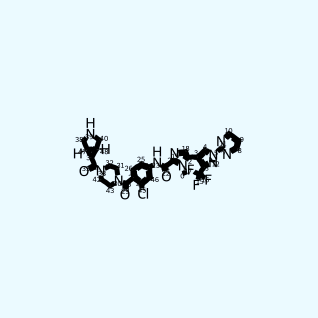 Cn1c(-c2cn(-c3ncccn3)nc2C(F)(F)F)cnc1C(=O)Nc1ccc(C(=O)N2CCN(C(=O)C3[C@H]4CNC[C@@H]34)CC2)c(Cl)c1